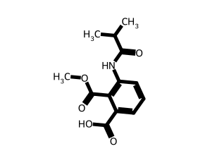 COC(=O)c1c(NC(=O)C(C)C)cccc1C(=O)O